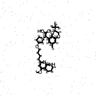 COc1cc(CCCCO[C@@H]2CCN(C(C(=O)O)c3cc(C)cc4c3O[C@@H](C(C)(C)F)CO4)C2)nc2c1CCCN2